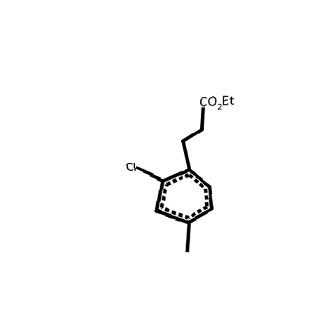 CCOC(=O)CCc1ccc(C)cc1Cl